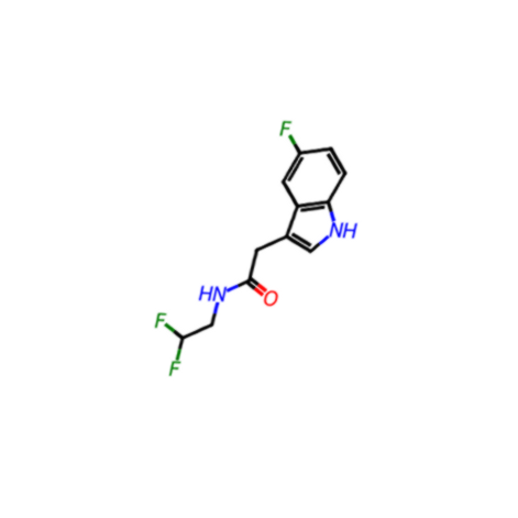 O=C(Cc1c[nH]c2ccc(F)cc12)NCC(F)F